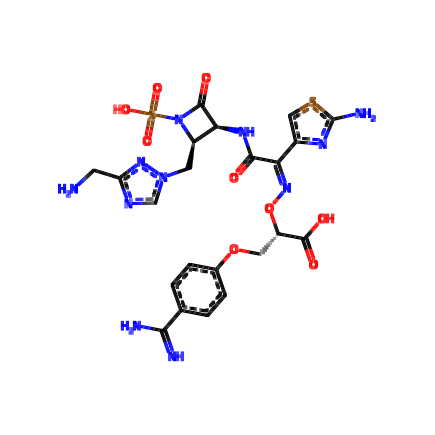 N=C(N)c1ccc(OC[C@H](O/N=C(\C(=O)N[C@@H]2C(=O)N(S(=O)(=O)O)[C@@H]2Cn2cnc(CN)n2)c2csc(N)n2)C(=O)O)cc1